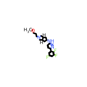 COCCCN1C[C@H]2C[C@@H](Nc3ccc(-c4cc(F)cc(F)c4F)nn3)C[C@H]2C1